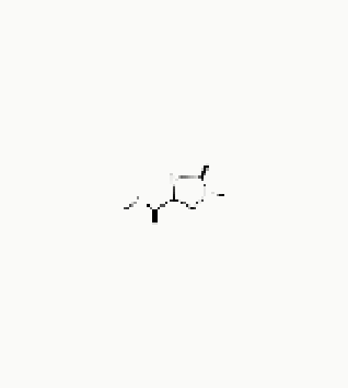 CNC(=O)C1CN(C)C(=O)N1